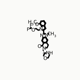 COc1cccc2cc(-c3nc4cc5c(cc4n3C)CCN(C[C@H]3COCCN3)C5=O)n(CCOC(F)F)c12